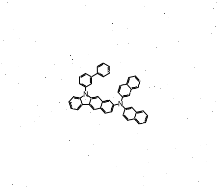 c1ccc(-c2cccc(-n3c4ccccc4c4cc5ccc(N(c6ccc7ccccc7c6)c6ccc7ccccc7c6)cc5cc43)c2)cc1